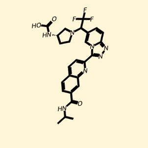 CC(C)NC(=O)c1ccc2ccc(-c3nnc4ccc(C(N5CC[C@H](NC(=O)O)C5)C(F)(F)F)cn34)nc2c1